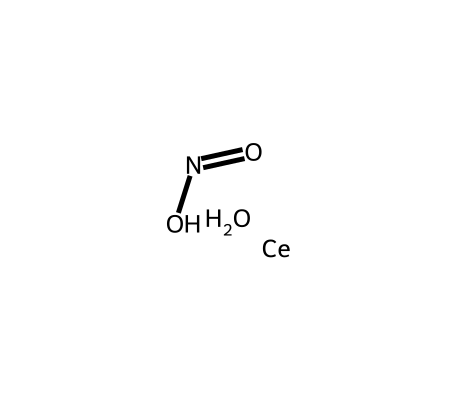 O.O=NO.[Ce]